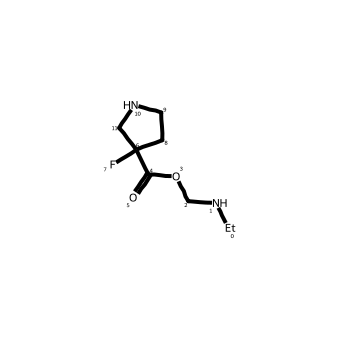 CCNCOC(=O)C1(F)CCNC1